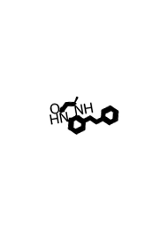 C[C@@H]1CC(=O)Nc2cccc(CCc3ccccc3)c2N1